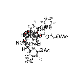 COCCOCOc1c(OC)c(C)cc2c1[C@@H]1C3[C@@H]4SC[C@H](NC(=O)OCc5ccccc5)C(=O)OC[C@@H](c5c6c(c(C)c(OC(C)=O)c54)OCO6)N3C(C#N)[C@H](C2)N1C